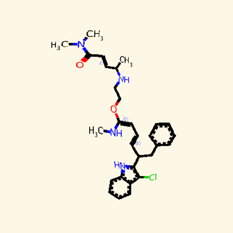 CN/C(=C\C=C\C(Cc1ccccc1)c1[nH]c2ccccc2c1Cl)OCCNC(C)/C=C/C(=O)N(C)C